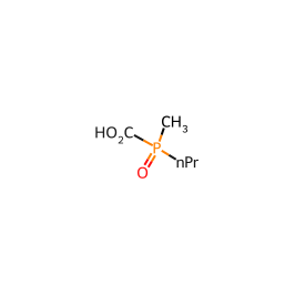 CCCP(C)(=O)C(=O)O